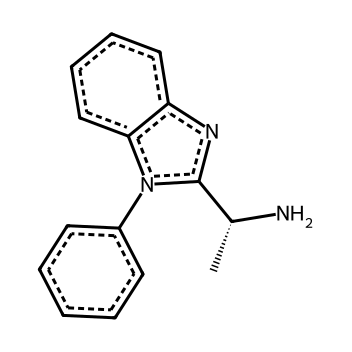 C[C@@H](N)c1nc2ccccc2n1-c1ccccc1